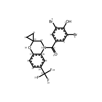 O=C(c1cc(Br)c(O)c(Br)c1)N1CC2(CC2)Oc2ccc(C(F)(F)F)cc21